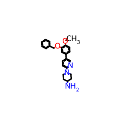 COc1ccc(-c2ccc(N3CCC(N)CC3)nc2)cc1OCc1ccccc1